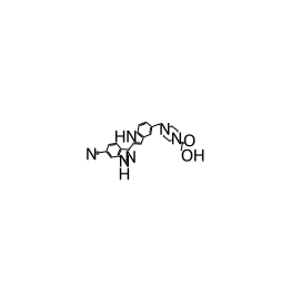 N#Cc1ccc2c(-c3cc4cc(CN5CCN(C(=O)CO)CC5)ccc4[nH]3)n[nH]c2c1